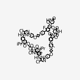 CNC(=O)C(OC(=O)COc1cc2cc(Nc3nc(N4CCC(O[C@H]5C[C@H](N6CCC(c7ccc8c(c7F)CN(C7CCC(=O)NC7=O)C8=O)CC6)C5)CC4)ncc3Cl)ccc2n(C(C)C)c1=O)Oc1cc2cc(Nc3nc(N4CCC(O[C@H]5C[C@H](N6CCN(c7ccc8c(c7)C(=O)N(C7CCC(=O)NC7=O)C8=O)C[C@H]6C)C5)CC4)ncc3Cl)ccc2n(C(C)C)c1=O